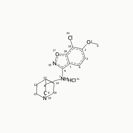 COc1ccc2c(NC3CN4CCC3CC4)noc2c1Cl.Cl